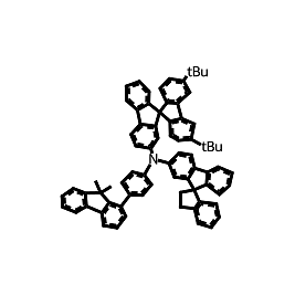 CC(C)(C)c1ccc2c(c1)-c1cc(C(C)(C)C)ccc1C21c2ccccc2-c2ccc(N(c3ccc(-c4cccc5c4C(C)(C)c4ccccc4-5)cc3)c3ccc4c(c3)C3(CCc5ccccc53)c3ccccc3-4)cc21